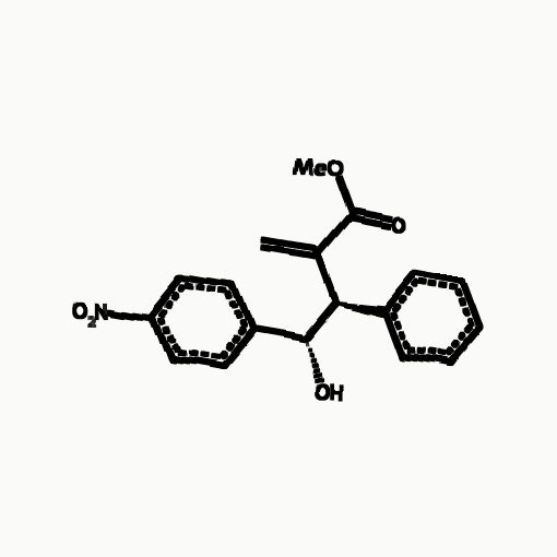 C=C(C(=O)OC)[C@@H](c1ccccc1)[C@H](O)c1ccc([N+](=O)[O-])cc1